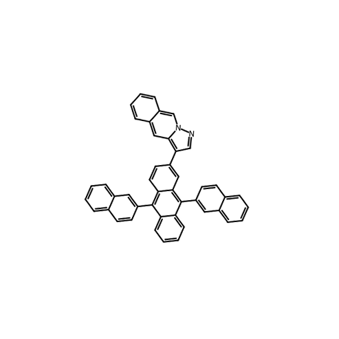 c1ccc2cc(-c3c4ccccc4c(-c4ccc5ccccc5c4)c4cc(-c5cnn6cc7ccccc7cc56)ccc34)ccc2c1